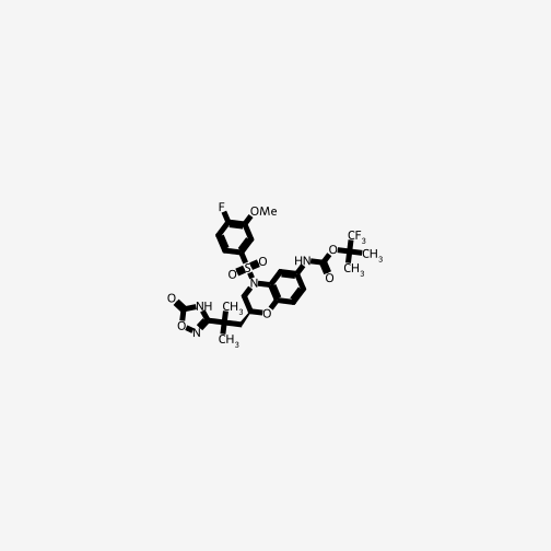 COc1cc(S(=O)(=O)N2C[C@H](CC(C)(C)c3noc(=O)[nH]3)Oc3ccc(NC(=O)OC(C)(C)C(F)(F)F)cc32)ccc1F